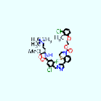 COC(=O)[C@H](CCC[N+](C)(C)C)NC(=O)c1cc(F)c(Cn2cc(-c3cccc4c3SCCN4C(=O)OCCOc3cccc(Cl)c3C)cn2)c(Cl)c1